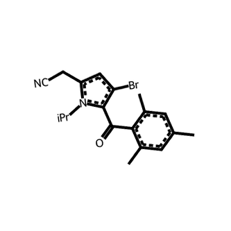 Cc1cc(C)c(C(=O)c2c(Br)cc(CC#N)n2C(C)C)c(C)c1